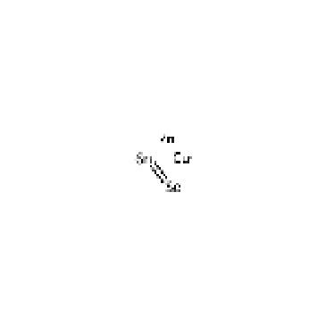 [Cu].[Se]=[Sn].[Zn]